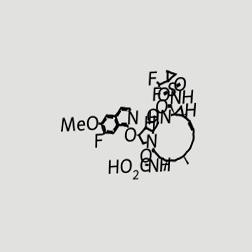 COc1cc2ccnc(O[C@@H]3C[C@H]4C(=O)N[C@]5(C(=O)NS(=O)(=O)C6(C(F)F)CC6)C[C@H]5C=CCC[C@@H](C)C[C@@H](C)[C@H](NC(=O)O)C(=O)N4C3)c2cc1F